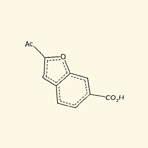 CC(=O)c1cc2ccc(C(=O)O)cc2o1